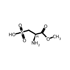 COC(=O)[C@@H](N)CS(=O)(=O)O